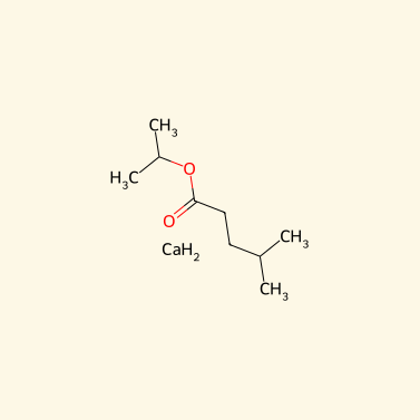 CC(C)CCC(=O)OC(C)C.[CaH2]